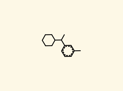 Cc1cccc(C(C)C2CCCCC2)c1